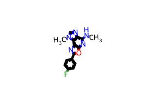 CNc1nc2oc(-c3ccc(F)cc3)nc2c2c1ncn2C